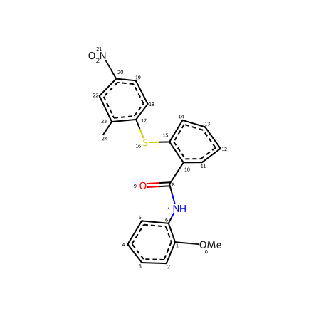 COc1ccccc1NC(=O)c1ccccc1Sc1ccc([N+](=O)[O-])cc1C